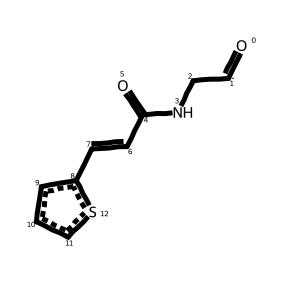 O=[C]CNC(=O)C=Cc1cccs1